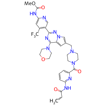 C=CC(=O)Nc1cccc(C(=O)N2CCN(Cc3cc4c(N5CCOCC5)nc(-c5cnc(NC(=O)OC)cc5C(F)(F)F)nn4c3)CC2)n1